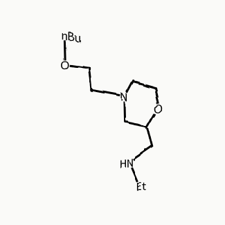 CCCCOCCN1CCOC(CNCC)C1